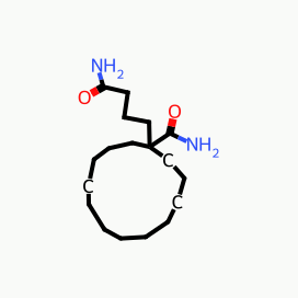 NC(=O)CCCC1(C(N)=O)CCCCCCCCCCCC1